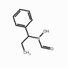 CCC(c1ccccc1)N(O)C=O